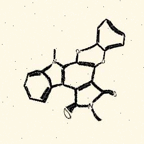 Cn1c(=O)c2c3oc4ccccc4oc3c3c(c4ccccc4n3C)c2c1=O